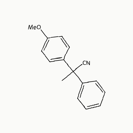 COc1ccc(C(C)(C#N)c2ccccc2)cc1